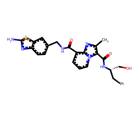 Cc1nc2c(C(=O)NCc3ccc4nc(N)sc4c3)cccn2c1C(=O)N[C@H](CO)CC(C)C